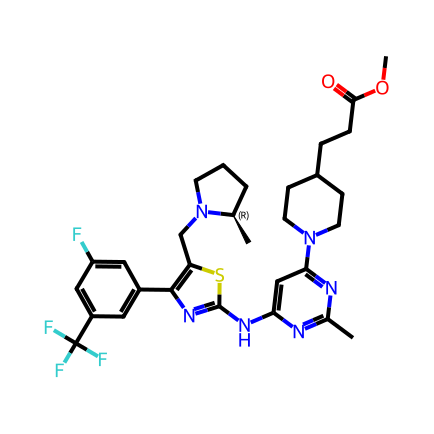 COC(=O)CCC1CCN(c2cc(Nc3nc(-c4cc(F)cc(C(F)(F)F)c4)c(CN4CCC[C@H]4C)s3)nc(C)n2)CC1